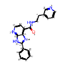 O=C(NCCc1cccnc1)c1ccnc2[nH]c(-c3ccccc3)nc12